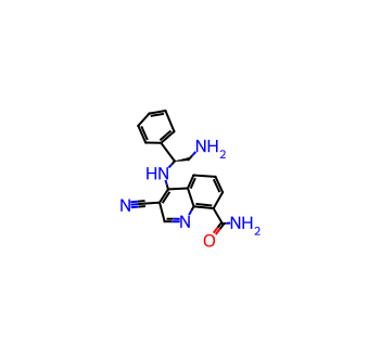 N#Cc1cnc2c(C(N)=O)cccc2c1N[C@H](CN)c1ccccc1